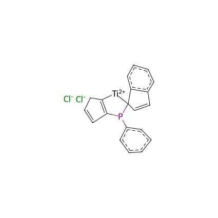 C1=CC2=[C](C1)[Ti+2][C]1(C=Cc3ccccc31)P2c1ccccc1.[Cl-].[Cl-]